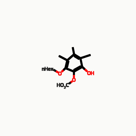 CCCCCCOc1c(C)c(C)c(C)c(O)c1OC(=O)O